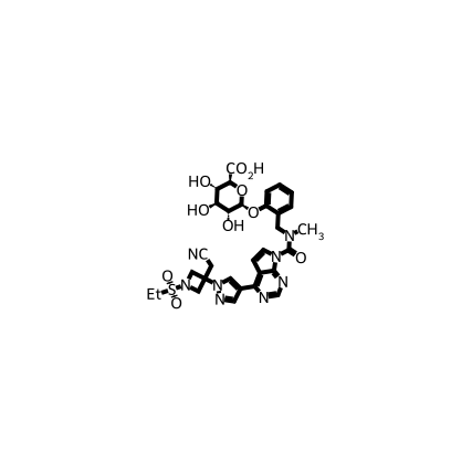 CCS(=O)(=O)N1CC(CC#N)(n2cc(-c3ncnc4c3ccn4C(=O)N(C)Cc3ccccc3O[C@@H]3O[C@H](C(=O)O)[C@@H](O)[C@H](O)[C@H]3O)cn2)C1